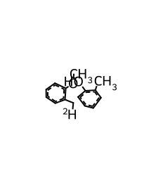 Cc1ccccc1O.[2H]Cc1ccccc1OC